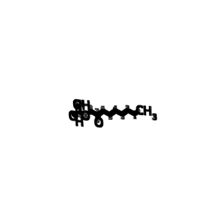 CCCCCCCC(=O)CO[PH](=O)O